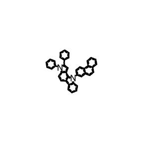 c1ccc(-c2cc3c(ccc4c5ccccc5n(-c5ccc6c(ccc7ccccc76)c5)c43)n2-c2ccccc2)cc1